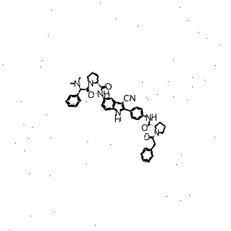 CN(C)[C@@H](C(=O)N1CCC[C@H]1C(=O)Nc1ccc2[nH]c(-c3ccc(NC(=O)[C@@H]4CCCN4C(=O)Cc4ccccc4)cc3)c(C#N)c2c1)c1ccccc1